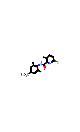 CCOC(=O)c1cc(C)c(NC(=O)c2nc(Cl)ccc2C)c(C)c1